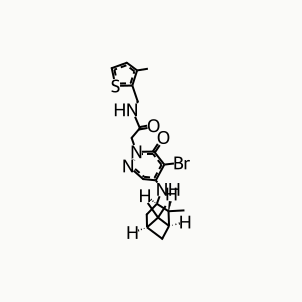 Cc1ccsc1CNC(=O)Cn1ncc(N[C@@H]2C[C@@H]3C[C@H]([C@H]2C)C3(C)C)c(Br)c1=O